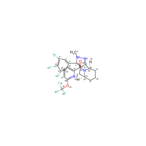 Cn1nc2c(c1-c1cc(F)c(F)c(F)c1)C[C@@H]1CCC[C@H]2N1C(=O)c1cccc(OC(F)(F)F)n1